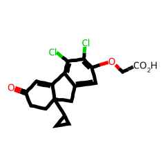 O=C(O)COc1cc2c(c(Cl)c1Cl)C1=CC(=O)CCC1(C1CC1)C2